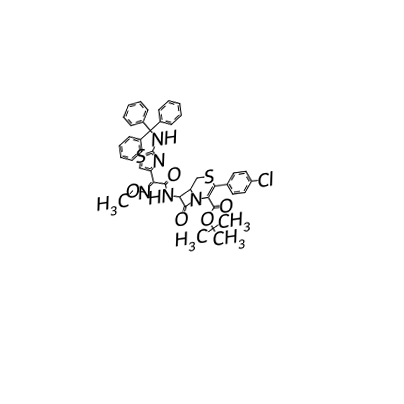 CON=C(C(=O)NC1C(=O)N2C(C(=O)OC(C)(C)C)=C(c3ccc(Cl)cc3)SCC12)c1csc(NC(c2ccccc2)(c2ccccc2)c2ccccc2)n1